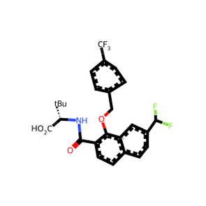 CC(C)(C)[C@H](NC(=O)c1ccc2ccc(C(F)F)cc2c1OCc1ccc(C(F)(F)F)cc1)C(=O)O